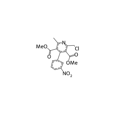 COC(=O)c1c(C)nc(CCl)c(C(=O)OC)c1-c1cccc([N+](=O)[O-])c1